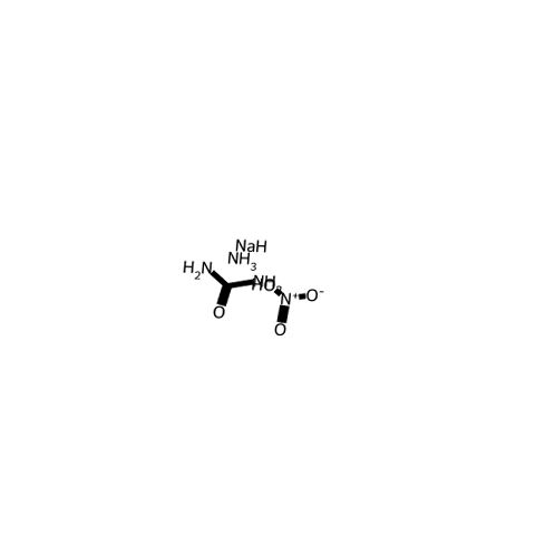 N.NC(N)=O.O=[N+]([O-])O.[NaH]